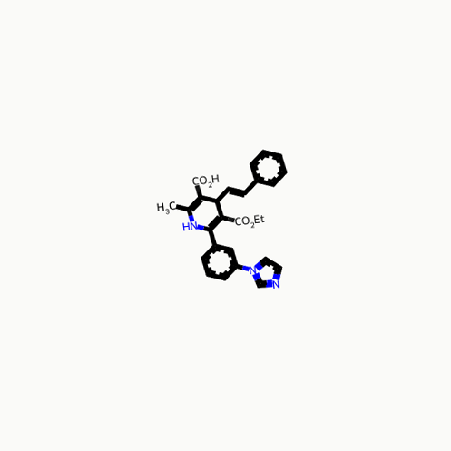 CCOC(=O)C1=C(c2cccc(-n3ccnc3)c2)NC(C)=C(C(=O)O)C1/C=C/c1ccccc1